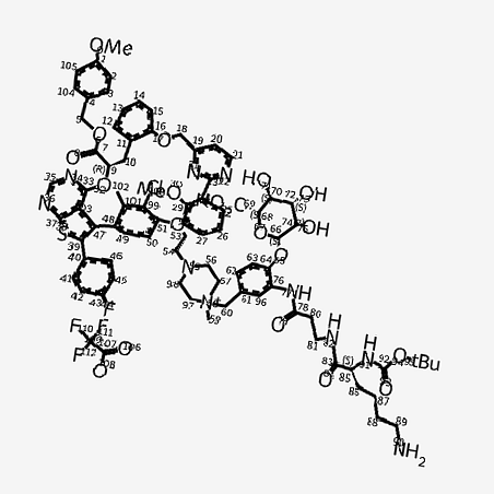 COc1ccc(COC(=O)[C@@H](Cc2ccccc2OCc2ccnc(-c3ccccc3OC)n2)Oc2ncnc3sc(-c4ccc(F)cc4)c(-c4ccc(OCCN5CC[N+](C)(Cc6ccc(O[C@@H]7O[C@H](C(=O)O)[C@@H](O)[C@H](O)[C@H]7O)c(NC(=O)CCNC(=O)[C@H](CCCCN)NC(=O)OC(C)(C)C)c6)CC5)c(Cl)c4C)c23)cc1.O=C([O-])C(F)(F)F